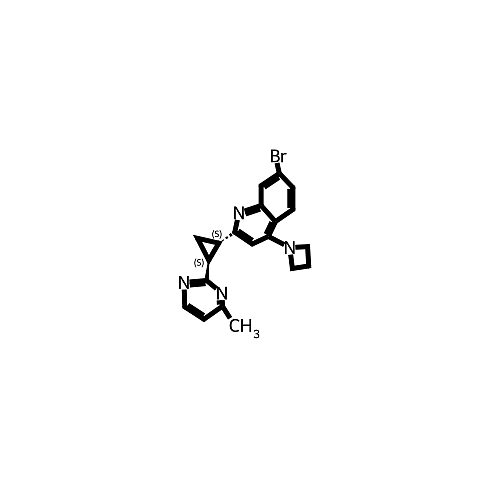 Cc1ccnc([C@H]2C[C@@H]2c2cc(N3CCC3)c3ccc(Br)cc3n2)n1